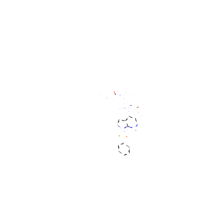 CC(C)(C)OC(=O)N1CCCC2(C1)Nc1c(cnc3c1ccn3S(=O)(=O)c1ccccc1)NC2=O